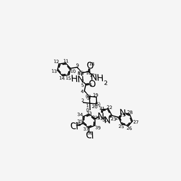 CC1(C)[C@@H](CC(=O)N[C@@H](Cc2ccccc2)C(N)=O)C[C@@H]1c1cc(-c2ccccn2)nn1-c1ccc(Cl)c(Cl)c1